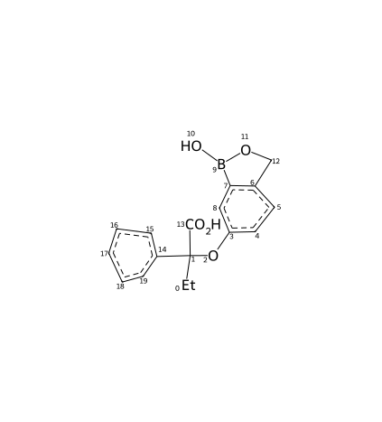 CCC(Oc1ccc2c(c1)B(O)OC2)(C(=O)O)c1ccccc1